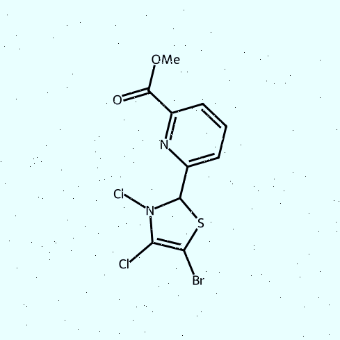 COC(=O)c1cccc(C2SC(Br)=C(Cl)N2Cl)n1